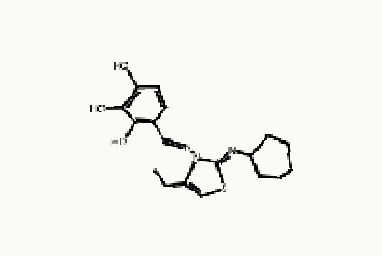 CCc1cs/c(=N\C2CCCCC2)n1/N=C/c1ccc(O)c(O)c1O